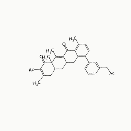 CC(=O)Cc1cccc(-c2ccc(C)c3c2CC2CC4CC(C)=C(C(C)=O)C(=O)C4(C)C(C)=C2C3=O)c1